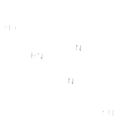 CCNc1nccc(C)n1